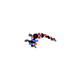 CCCc1nn(C)c2c(=O)[nH]c(-c3cc(S(=O)(=O)N4CC(OCCCO[N+](=O)[O-])C4)ccc3OCC)nc12